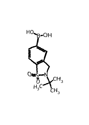 CC(C)(C)N1Cc2cc(B(O)O)ccc2S1(=O)=O